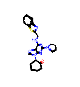 O=C1CCCC[C@H]1n1cnc2c(NCc3nc4ccccc4s3)nc(N3CCCC3)nc21